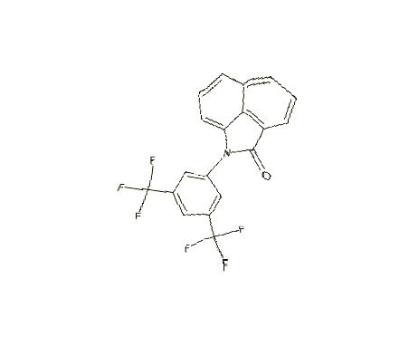 O=C1c2cccc3cccc(c23)N1c1cc(C(F)(F)F)cc(C(F)(F)F)c1